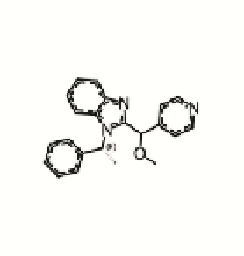 COC(c1ccncc1)c1nc2ccccc2n1[C@H](C)c1ccccc1